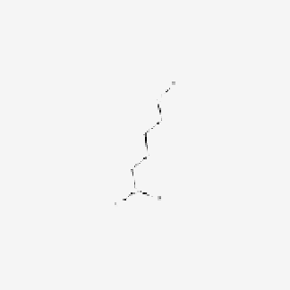 OB(O)CCCCNBr